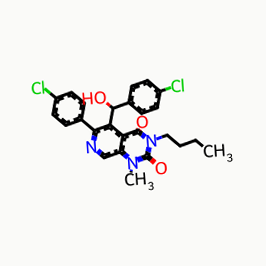 CCCCn1c(=O)c2c(C(O)c3ccc(Cl)cc3)c(-c3ccc(Cl)cc3)ncc2n(C)c1=O